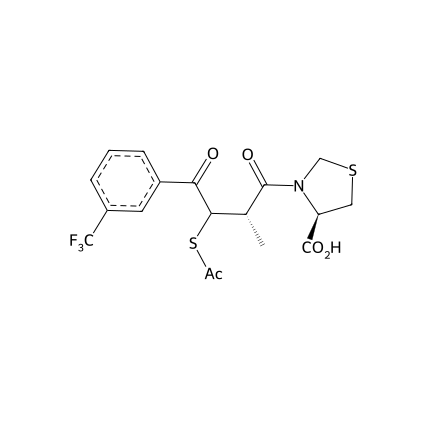 CC(=O)SC(C(=O)c1cccc(C(F)(F)F)c1)[C@@H](C)C(=O)N1CSC[C@H]1C(=O)O